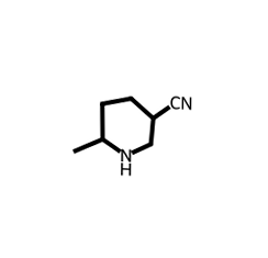 CC1CCC(C#N)CN1